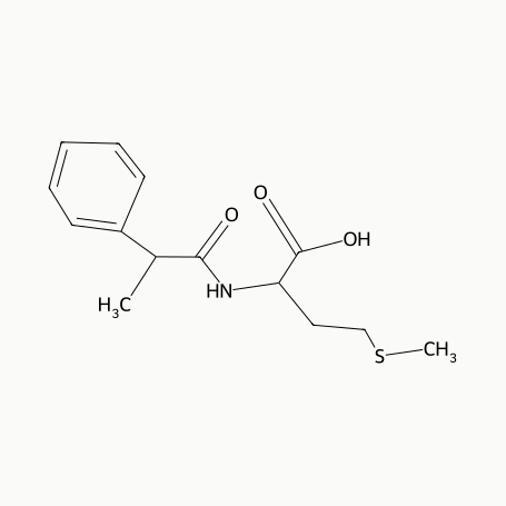 CSCCC(NC(=O)C(C)c1ccccc1)C(=O)O